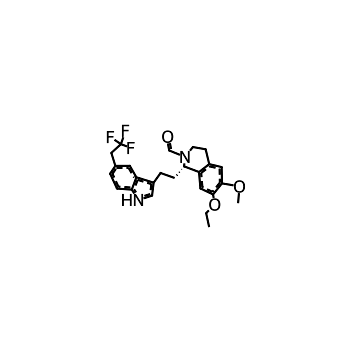 CCOc1cc2c(cc1OC)CCN(C=O)[C@H]2CCc1c[nH]c2ccc(CC(F)(F)F)cc12